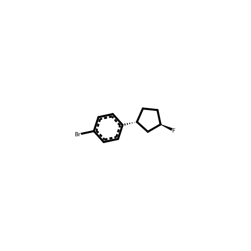 F[C@@H]1CC[C@@H](c2ccc(Br)cc2)C1